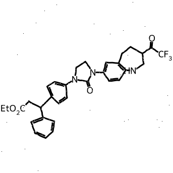 CCOC(=O)CC(c1ccccc1)c1ccc(N2CCN(c3ccc4c(c3)CCC(C(=O)C(F)(F)F)CN4)C2=O)cc1